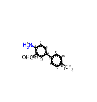 Nc1ccc(-c2ccc(C(F)(F)F)cc2)cc1C=O